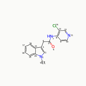 CCn1cc(CC(=O)Nc2ccncc2Cl)c2ccccc21